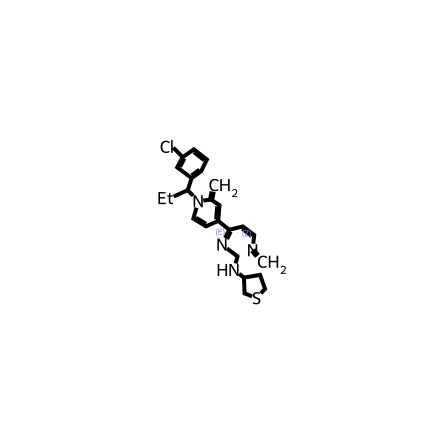 C=N/C=C\C(=N/CNC1CCSC1)C1=CC(=C)N(C(CC)c2cccc(Cl)c2)C=C1